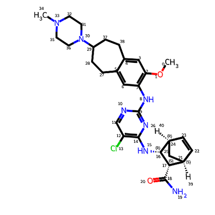 COc1cc2c(cc1Nc1ncc(Cl)c(N[C@H]3[C@@H](C(N)=O)[C@@H]4C=C[C@H]3C4)n1)CCC(N1CCN(C)CC1)CC2